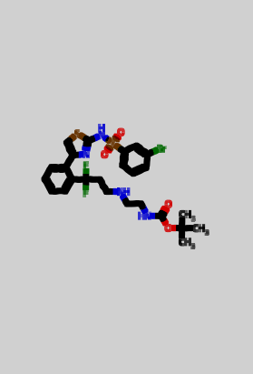 CC(C)(C)OC(=O)NCCNCCC(F)(F)c1ccccc1-c1csc(NS(=O)(=O)c2cccc(Br)c2)n1